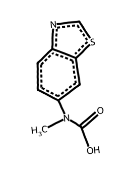 CN(C(=O)O)c1ccc2ncsc2c1